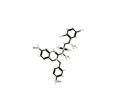 COc1ccc(CN(Cc2ccc(OC)cc2)C(=N)N(C)S(=O)(=O)C[C@@H](C)c2cc(F)ccc2F)cc1